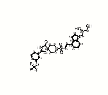 O=C1NC(c2cccc(OC(F)(F)F)c2)=NC12CCN(S(=O)(=O)C=Cc1cccc3c1ccn3CC(O)CO)CC2